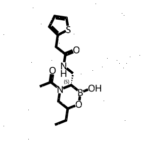 CCC1CN(C(C)=O)[C@H](CNC(=O)Cc2cccs2)B(O)O1